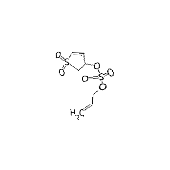 C=CCOS(=O)(=O)OC1C=CS(=O)(=O)C1